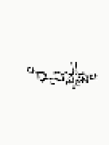 CCc1cc(NC(=O)Cc2ccc(Oc3ccc(Cl)cc3)cc2)n(C)n1